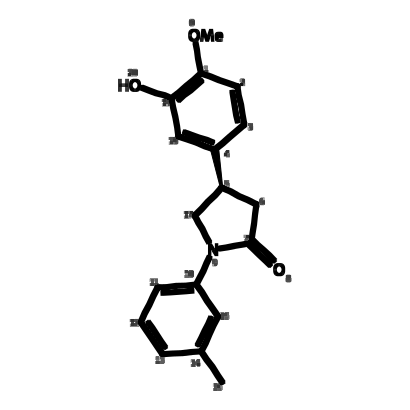 COc1ccc([C@H]2CC(=O)N(c3cccc(C)c3)C2)cc1O